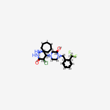 O=C1NNC2(CCCCCC2)C(N2CCN(Cc3ccccc3C(F)F)C(=O)C2)C1Cl